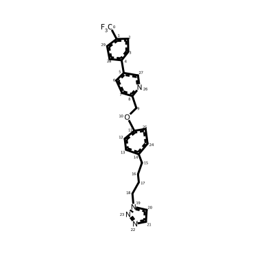 FC(F)(F)c1ccc(-c2ccc(COc3ccc(CCCCn4ccnn4)cc3)nc2)cc1